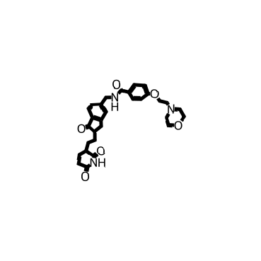 O=C1CCC(CCC2Cc3cc(CNC(=O)c4ccc(OCCN5CCOCC5)cc4)ccc3C2=O)C(=O)N1